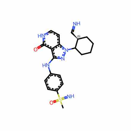 CS(=N)(=O)c1ccc(Nc2nn(C3CCCC[C@@H]3C=N)c3cc[nH]c(=O)c23)cc1